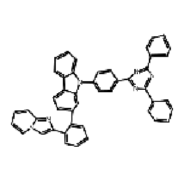 c1ccc(-c2nc(-c3ccccc3)nc(-c3ccc(-n4c5ccccc5c5ccc(-c6ccccc6-c6cn7ccccc7n6)cc54)cc3)n2)cc1